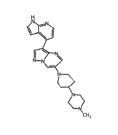 CN1CCN(C2CCN(c3cnc4c(-c5ccnc6[nH]ccc56)cnn4c3)CC2)CC1